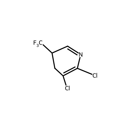 FC(F)(F)C1C=NC(Cl)=C(Cl)C1